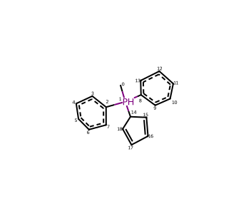 C[PH](c1ccccc1)(c1ccccc1)C1C=CC=C1